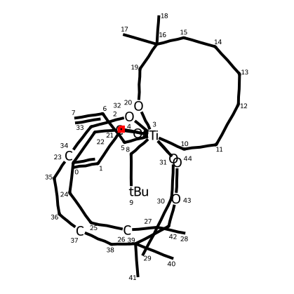 C=C[CH2][Ti]123(=[O])([CH2]C=C)([CH2]C(C)(C)C)([CH2]CCCCCC(C)(C)C[O]1)([CH2]CCCCCC(C)(C)C[O]2)[O]CCCCCCC(C)(C)CO[O]3